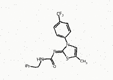 Cc1cn(-c2ccc(C(F)(F)F)cc2)/c(=N/C(=O)NCC(C)C)s1